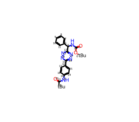 CC(C)(C)OC(=O)NC(c1ccccc1)c1nnc(-c2ccc(NC(=O)C(C)(C)C)cc2)nn1